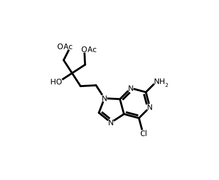 CC(=O)OCC(O)(CCn1cnc2c(Cl)nc(N)nc21)COC(C)=O